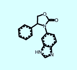 O=C1OCC(c2ccccc2)N1c1ccc2nc[nH]c2c1